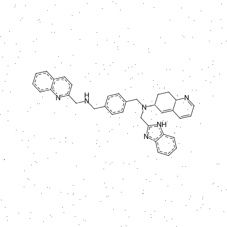 C1=CC2=CC(N(Cc3ccc(CNCc4ccc5ccccc5n4)cc3)Cc3nc4ccccc4[nH]3)CCC2N=C1